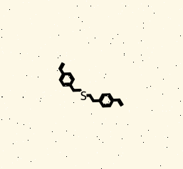 C=Cc1ccc(CCSCCc2ccc(C=C)cc2)cc1